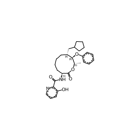 C[C@@H]1OC(=O)[C@@H](NC(=O)c2ncccc2O)CCCC[C@H](CC2CCCC2)[C@H]1Oc1ccccc1